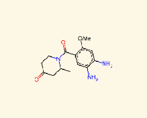 COc1cc(N)c(N)cc1C(=O)N1CCC(=O)CC1C